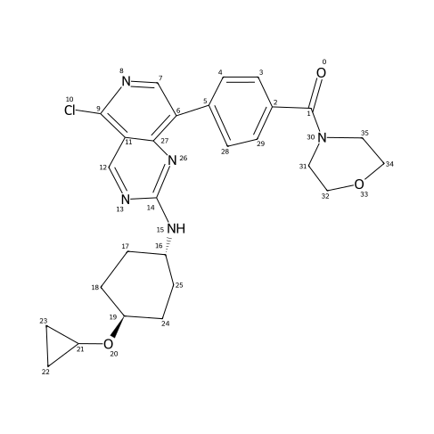 O=C(c1ccc(-c2cnc(Cl)c3cnc(N[C@H]4CC[C@H](OC5CC5)CC4)nc23)cc1)N1CCOCC1